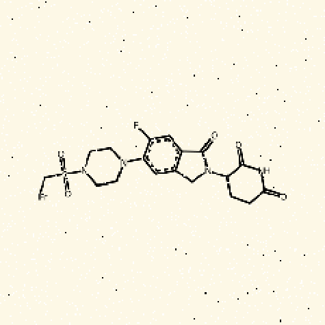 CC(C)CS(=O)(=O)N1CCN(c2cc3c(cc2F)C(=O)N(C2CCC(=O)NC2=O)C3)CC1